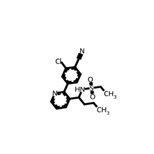 CCCC(NS(=O)(=O)CC)c1cccnc1-c1ccc(C#N)c(Cl)c1